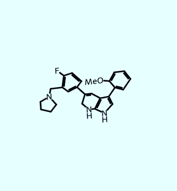 COc1ccccc1-c1c[nH]c2c1C=C(c1ccc(F)c(CN3CCCC3)c1)CN2